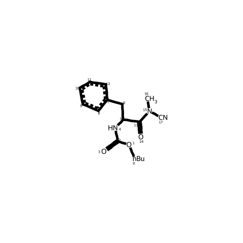 CCCCOC(=O)NC(Cc1ccccc1)C(=O)N(C)C#N